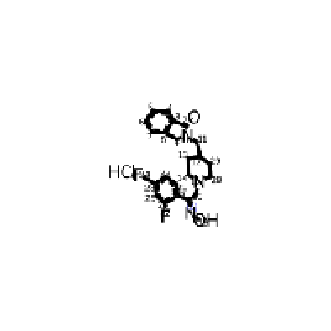 Cl.O=C1c2ccccc2CN1CC1CCN(C/C(=N\O)c2ccc(F)cc2F)CC1